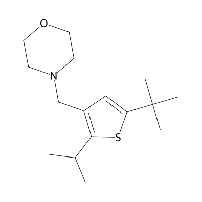 CC(C)c1sc(C(C)(C)C)cc1CN1CCOCC1